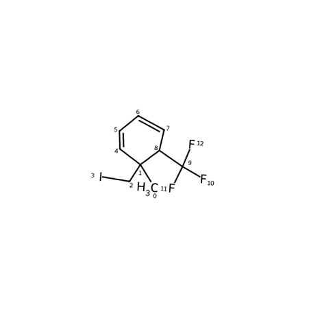 CC1(CI)C=CC=CC1C(F)(F)F